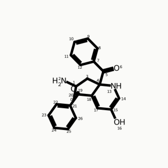 CC(N)CC1(C(=O)c2ccccc2)NC=C(O)C=C1C(=O)c1ccccc1